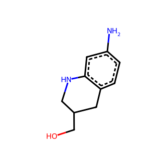 Nc1ccc2c(c1)NCC(CO)C2